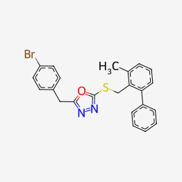 Cc1cccc(-c2ccccc2)c1CSc1nnc(Cc2ccc(Br)cc2)o1